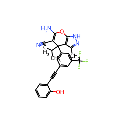 Cc1n[nH]c2c1C(c1cc(C#Cc3ccccc3O)cc(C(F)(F)F)c1)(C(C)C)C(C#N)=C(N)O2